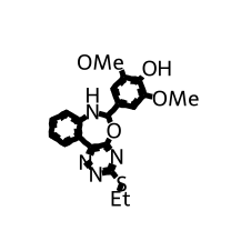 CCSc1nnc2c(n1)OC(c1cc(OC)c(O)c(OC)c1)Nc1ccccc1-2